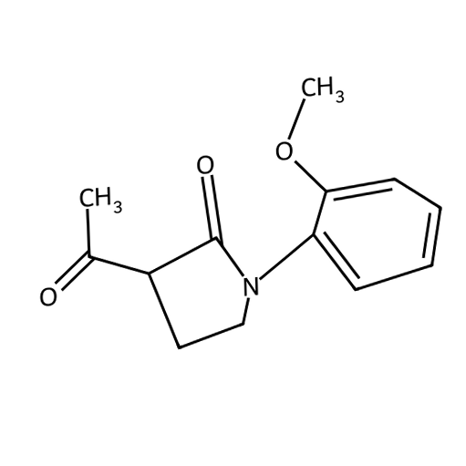 COc1ccccc1N1CCC(C(C)=O)C1=O